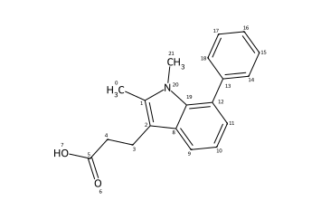 Cc1c(CCC(=O)O)c2cccc(-c3ccccc3)c2n1C